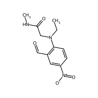 CCN(CC(=O)NC)c1ccc([N+](=O)[O-])cc1C=O